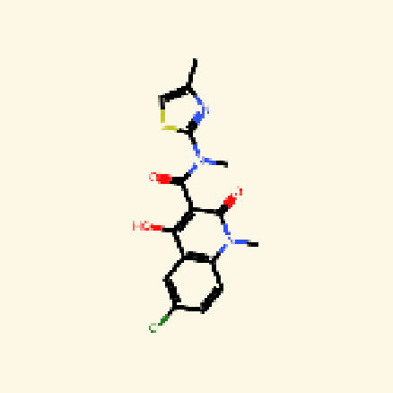 Cc1csc(N(C)C(=O)c2c(O)c3cc(Cl)ccc3n(C)c2=O)n1